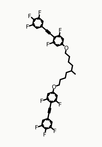 CC(CCCCOc1cc(F)c(C#Cc2cc(F)c(F)c(F)c2)c(F)c1)CCCCOc1cc(F)c(C#Cc2cc(F)c(F)c(F)c2)c(F)c1